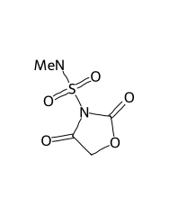 CNS(=O)(=O)N1C(=O)COC1=O